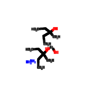 CCO.N.N.O=C(O)CC(O)(CC(=O)O)C(=O)O.O=C(O)CC(O)(CC(=O)O)C(=O)O